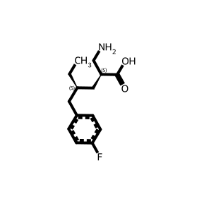 CC[C@H](Cc1ccc(F)cc1)C[C@@H](CN)C(=O)O